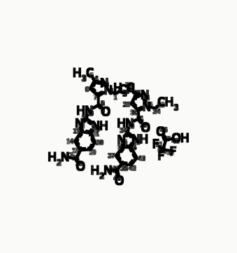 CCn1nc(C)cc1C(=O)Nc1nc2cc(C(N)=O)ccc2[nH]1.CCn1nc(C)cc1C(=O)Nc1nc2cc(C(N)=O)ccc2[nH]1.O=C(O)C(F)(F)F